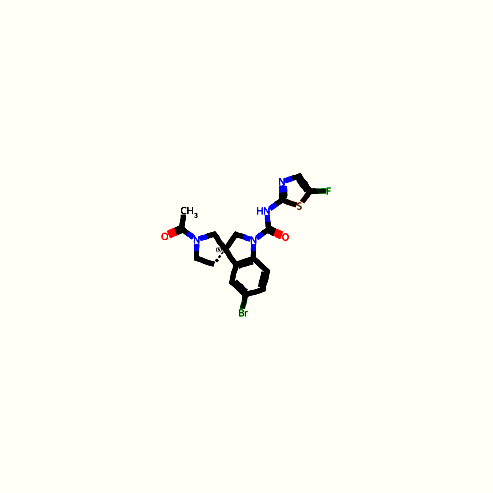 CC(=O)N1CC[C@]2(C1)CN(C(=O)Nc1ncc(F)s1)c1ccc(Br)cc12